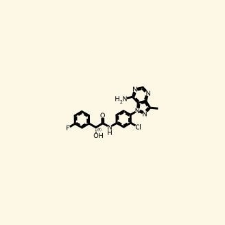 Cc1nn(-c2ccc(NC(=O)[C@H](O)c3cccc(F)c3)cc2Cl)c2c(N)ncnc12